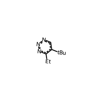 CCc1nnncc1C(C)(C)C